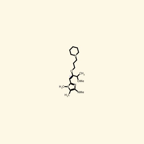 CNc1nc(/C=C(/OCCCN2CCCCC2)C(C)OC)n(C)c1C